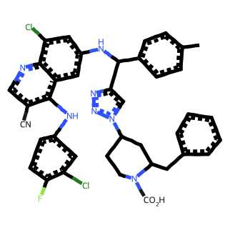 Cc1ccc(C(Nc2cc(Cl)c3ncc(C#N)c(Nc4ccc(F)c(Cl)c4)c3c2)c2cn(C3CCN(C(=O)O)C(Cc4ccccc4)C3)nn2)cc1